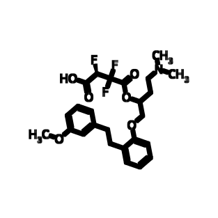 COc1cccc(CCc2ccccc2OCC(CCN(C)C)OC(=O)C(F)(F)[C@H](F)C(=O)O)c1